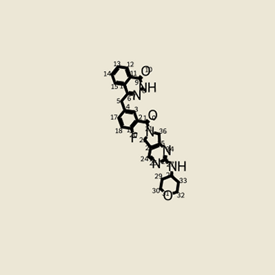 O=C(c1cc(Cc2n[nH]c(=O)c3ccccc23)ccc1F)N1Cc2cnc(NC3CCOCC3)nc2C1